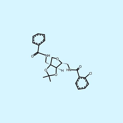 CC1(C)O[C@@H]2[C@@H](CNC(=O)c3ccccc3Cl)OC[C@]2(CNC(=O)c2ccccc2)O1